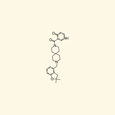 CC1(C)Cc2c(CN3CCC4(CC3)CCN(C(=O)c3c[nH]ccc3=O)CC4)cccc2O1